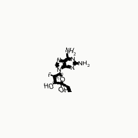 C=C[C@]1(O)O[C@@H](n2cnc3c(N)nc(N)nc32)[C@H](F)[C@@H]1O